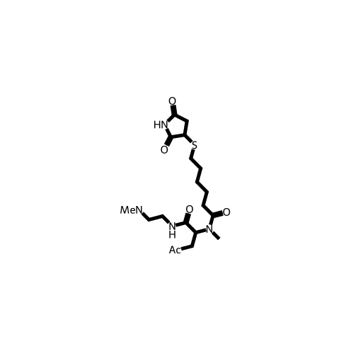 CNCCNC(=O)C(CC(C)=O)N(C)C(=O)CCCCCSC1CC(=O)NC1=O